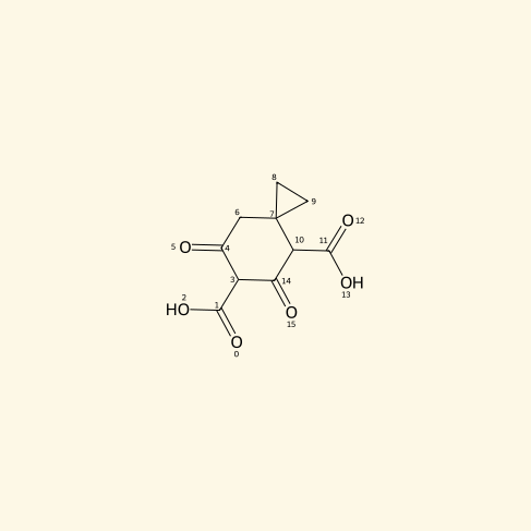 O=C(O)C1C(=O)CC2(CC2)C(C(=O)O)C1=O